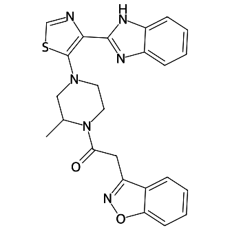 CC1CN(c2scnc2-c2nc3ccccc3[nH]2)CCN1C(=O)Cc1noc2ccccc12